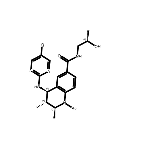 CC(=O)N1c2ccc(C(=O)NC[C@@H](C)O)cc2[C@H](Nc2ncc(Cl)cn2)[C@@H](C)[C@@H]1C